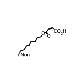 CCCCCCCCCCCCCCCCCOC(=O)/C=C\C(=O)O